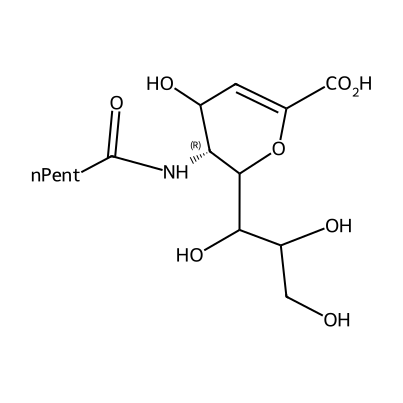 CCCCCC(=O)N[C@@H]1C(O)C=C(C(=O)O)OC1C(O)C(O)CO